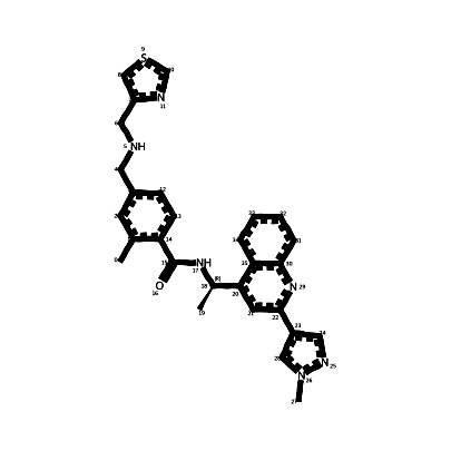 Cc1cc(CNCc2cscn2)ccc1C(=O)N[C@H](C)c1cc(-c2cnn(C)c2)nc2ccccc12